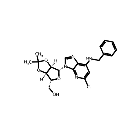 CC1(C)O[C@@H]2[C@H](O1)[C@@H](CO)O[C@H]2n1cnc2c(NCc3ccccc3)cc(Cl)nc21